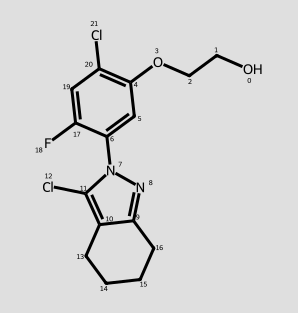 OCCOc1cc(-n2nc3c(c2Cl)CCCC3)c(F)cc1Cl